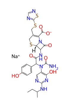 CCC(C)Nc1ncc(N(C(N)=O)C(C(=O)NC2C(=O)N3C(C(=O)[O-])=C(CSc4ncns4)CS[C@@H]23)c2ccc(O)cc2)c(O)n1.[Na+]